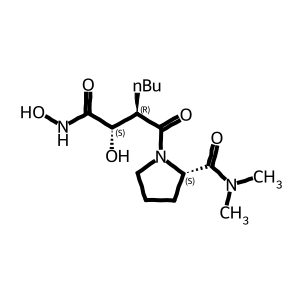 CCCC[C@@H](C(=O)N1CCC[C@H]1C(=O)N(C)C)[C@H](O)C(=O)NO